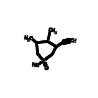 C#CC1CP(=O)(O)CC(C)C1C